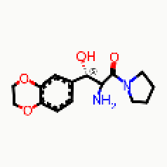 NC(C(=O)N1CCCC1)[C@@H](O)c1ccc2c(c1)OCCO2